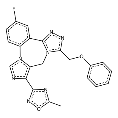 Cc1nc(-c2ncn3c2Cn2c(COc4ccccc4)nnc2-c2cc(F)ccc2-3)no1